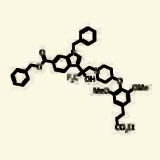 CCOC(=O)CCc1cc(OC)c(OC2CCN(CC(O)(c3cn(Cc4ccccc4)c4cc(C(=O)OCc5ccccc5)ccc34)C(F)(F)F)CC2)c(OC)c1